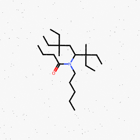 CCCCCN(C(=O)CCC)C(CC(C)(CC)CC)C(C)(CC)CC